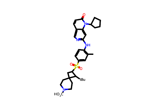 Cc1cc(S(=O)(=O)C2CC3(CCN(C(=O)O)CC3)C2C(C)(C)C)ccc1Nc1cc2c(ccc(=O)n2C2CCCC2)cn1